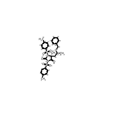 Cc1ccc(S(=O)(=O)N2C(=O)N(S(=O)(=O)c3ccc(C)cc3)[C@@](C)(C[C@H](C)OCc3ccccc3)C2=O)cc1